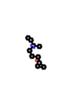 c1ccc(-c2cc(-c3ccc4ccccc4c3)nc(-c3cccc(-c4cccc(-c5cccc6c5oc5c7cccc8c7c(cc65)-c5ccccc5-8)c4)c3)n2)cc1